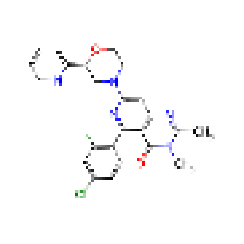 Cc1nc2cc(N3CCO[C@H](c4ccccn4)C3)nc(-c3ccc(Cl)cc3F)c2c(=O)n1C